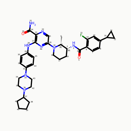 C[C@@H]1[C@H](NC(=O)c2ccc(C3CC3)cc2F)CCCN1c1cnc(C(N)=O)c(Nc2ccc(N3CCN(C4CCCC4)CC3)cc2)n1